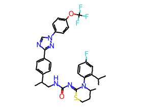 CC(C)c1cc(F)ccc1N1/C(=N/C(=O)NCC(C)c2ccc(-c3ncn(-c4ccc(OC(F)(F)F)cc4)n3)cc2)SCCC1C